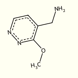 COc1nnccc1CN